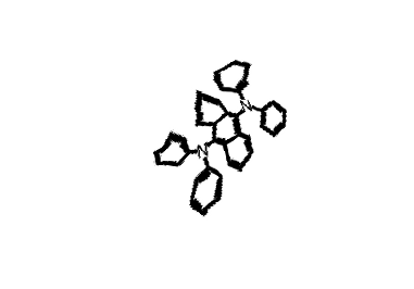 C1=CC2C(N(C3=CCCC=C3)c3ccccc3)=c3ccccc3=C(N(c3ccccc3)c3ccccc3)C2C=C1